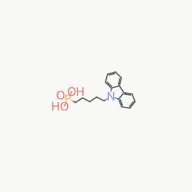 O=P(O)(O)CCCCCn1c2ccccc2c2ccccc21